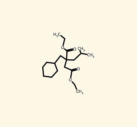 CCOC(=O)CC(CC(C)C)(CC1CCCCC1)C(=O)OCC